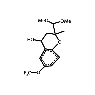 COC(OC)C1(C)CC(O)c2cc(OC(F)(F)F)ccc2O1